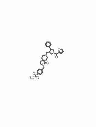 CS(=O)(=O)c1ccc(CN2CCC3(CCN(CC4CN(C(=O)c5ccco5)CC4c4ccccc4)CC3)C2=O)cc1